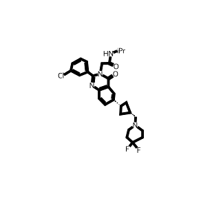 CC(C)NC(=O)Cn1c(-c2cccc(Cl)c2)nc2ccc([C@H]3C[C@@H](CN4CCC(F)(F)CC4)C3)cc2c1=O